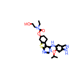 CCN(CCO)C(=O)OC1CCc2c(sc3ncnc(Nc4cc5cn[nH]c5cc4OC(C)C)c23)C1